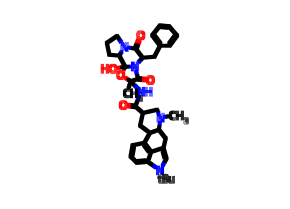 CN1CC(C(=O)NC2(C)OC3(O)C4CCCN4C(=O)C(Cc4ccccc4)N3C2=O)CC2c3cccc4c3c(cn4C(C)(C)C)CC21